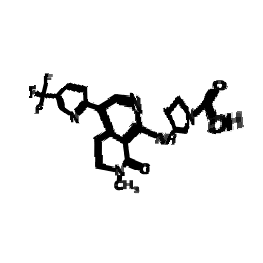 Cn1ccc2c(-c3ccc(C(F)(F)F)cn3)cnc(N[C@H]3CCN(C(=O)O)C3)c2c1=O